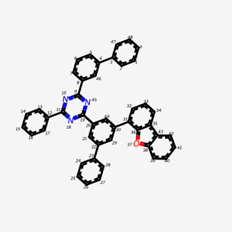 c1ccc(-c2cccc(-c3nc(-c4ccccc4)nc(-c4cc(-c5ccccc5)cc(-c5cccc6c5oc5ccccc56)c4)n3)c2)cc1